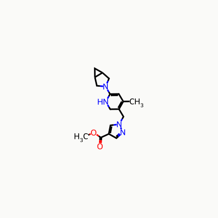 COC(=O)c1cnn(CC2=C(C)C=C(N3CC4CC4C3)NC2)c1